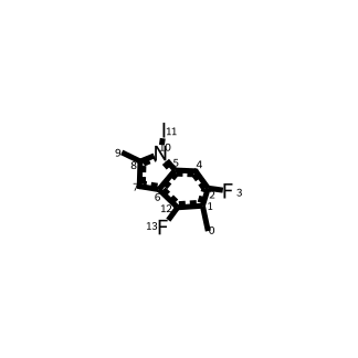 Cc1c(F)cc2c(cc(C)n2I)c1F